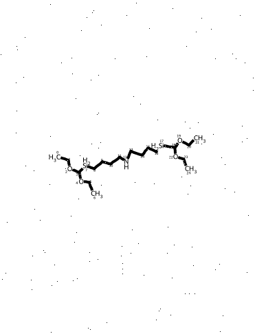 CCOC(OCC)[SiH2]CCCCNCCCC[SiH2]C(OCC)OCC